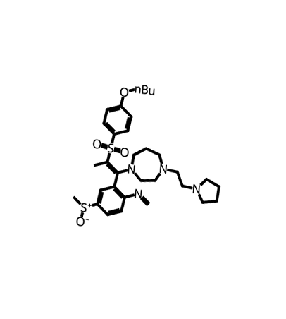 C=Nc1ccc([S+](C)[O-])cc1/C(=C(\C)S(=O)(=O)c1ccc(OCCCC)cc1)N1CCCN(CCN2CCCC2)CC1